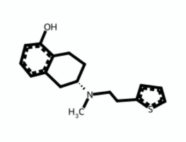 CN(CCc1cccs1)[C@H]1CCc2c(O)cccc2C1